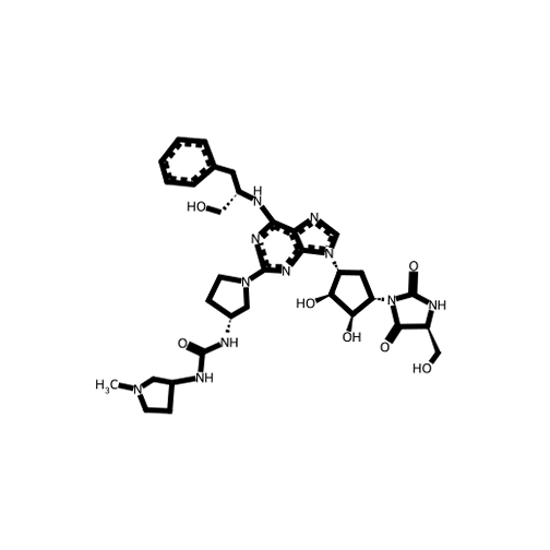 CN1CCC(NC(=O)N[C@@H]2CCN(c3nc(N[C@H](CO)Cc4ccccc4)c4ncn([C@@H]5C[C@H](N6C(=O)N[C@@H](CO)C6=O)[C@@H](O)[C@H]5O)c4n3)C2)C1